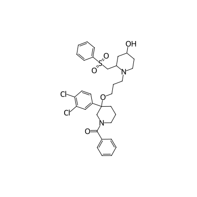 O=C(c1ccccc1)N1CCCC(OCCCN2CCC(O)CC2CS(=O)(=O)c2ccccc2)(c2ccc(Cl)c(Cl)c2)C1